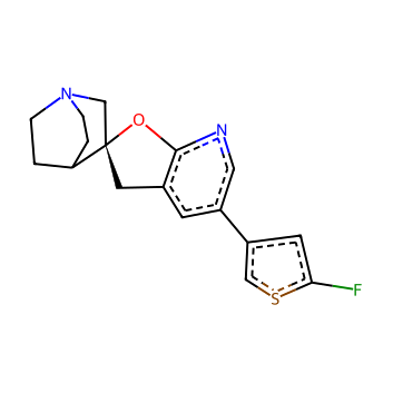 Fc1cc(-c2cnc3c(c2)C[C@@]2(CN4CCC2CC4)O3)cs1